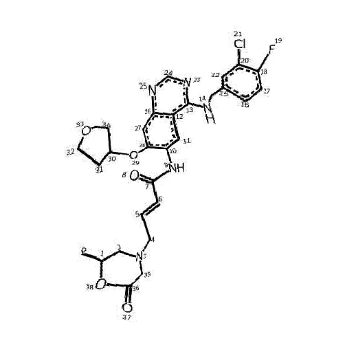 CC1CN(CC=CC(=O)Nc2cc3c(Nc4ccc(F)c(Cl)c4)ncnc3cc2OC2CCOC2)CC(=O)O1